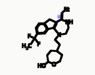 CC/C=C1\NCCN(CCC2CCOC(O)CC2)C2=C1Cc1ccc(C(C)(F)F)cc12